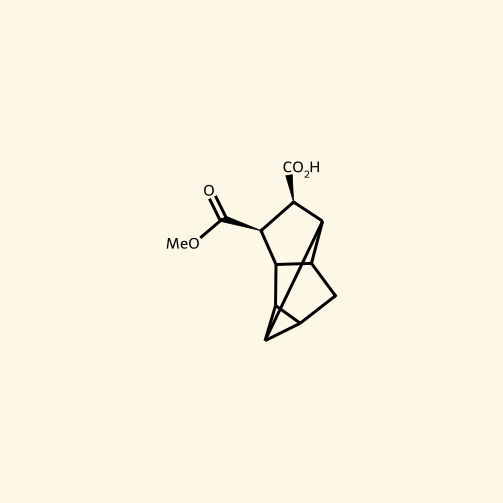 COC(=O)[C@@H]1C2C3CC4C2C4C3[C@@H]1C(=O)O